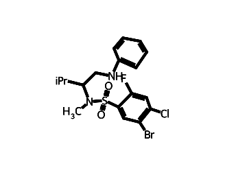 CC(C)C(CNc1ccccc1)N(C)S(=O)(=O)c1cc(Br)c(Cl)cc1F